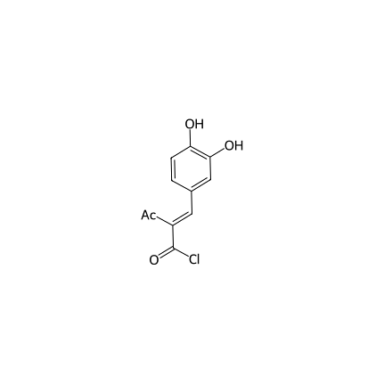 CC(=O)/C(=C\c1ccc(O)c(O)c1)C(=O)Cl